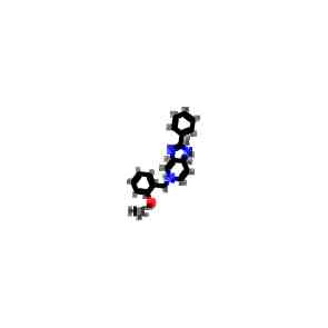 COc1ccccc1Cn1ccc2nc(-c3ccccc3)nc-2c1